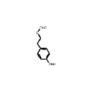 CSc1ccc(CCO[C]=O)cc1